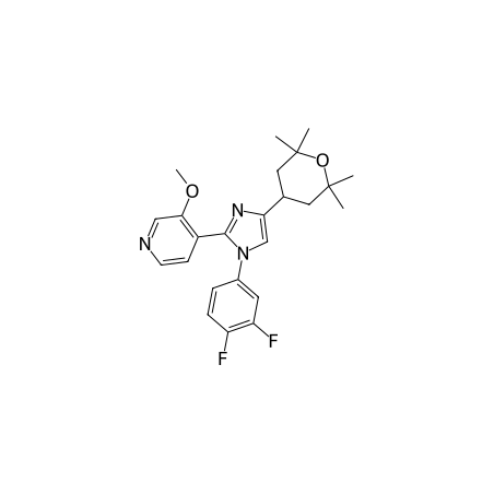 COc1cnccc1-c1nc(C2CC(C)(C)OC(C)(C)C2)cn1-c1ccc(F)c(F)c1